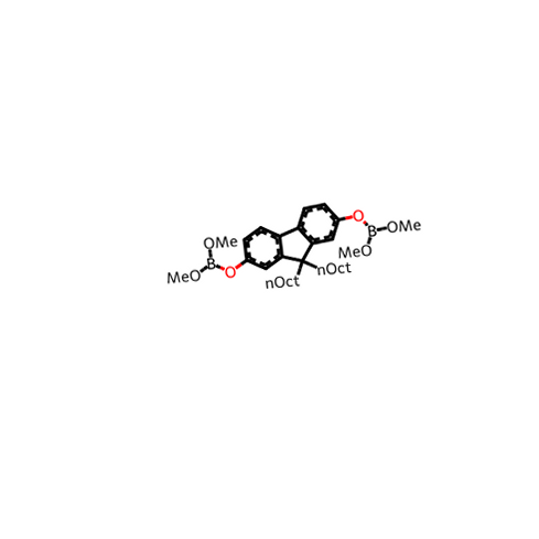 CCCCCCCCC1(CCCCCCCC)c2cc(OB(OC)OC)ccc2-c2ccc(OB(OC)OC)cc21